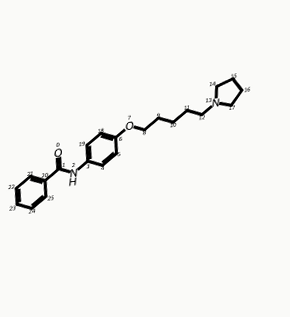 O=C(Nc1ccc(OCCCCCN2CCCC2)cc1)c1ccccc1